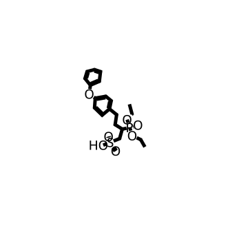 CCOP(=O)(OCC)C(CCc1ccc(Oc2ccccc2)cc1)CS(=O)(=O)O